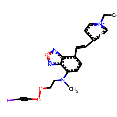 CC[n+]1ccc(/C=C/c2ccc(N(C)CCOOC#CI)c3nonc23)cc1